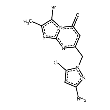 Cc1sc2nc(Cn3nc(N)cc3Cl)cc(=O)n2c1Br